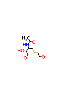 CC(O)NC(CSCC=O)C(O)CO